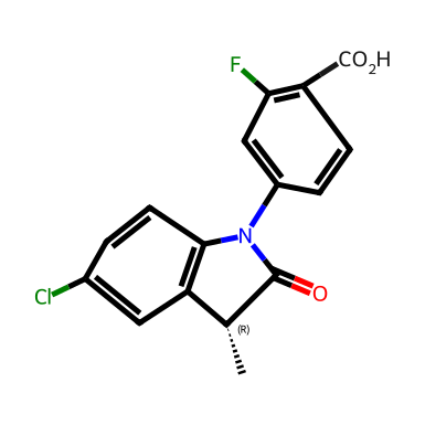 C[C@H]1C(=O)N(c2ccc(C(=O)O)c(F)c2)c2ccc(Cl)cc21